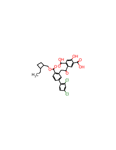 CCC1CCC1COC(=O)c1ccc(-c2ccc(Cl)cc2Cl)cc1CC(=O)c1cc(C(=O)O)c(O)cc1C(=O)O